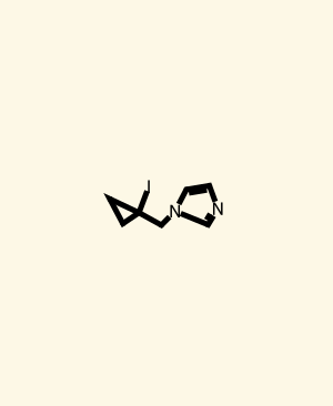 IC1(Cn2ccnc2)CC1